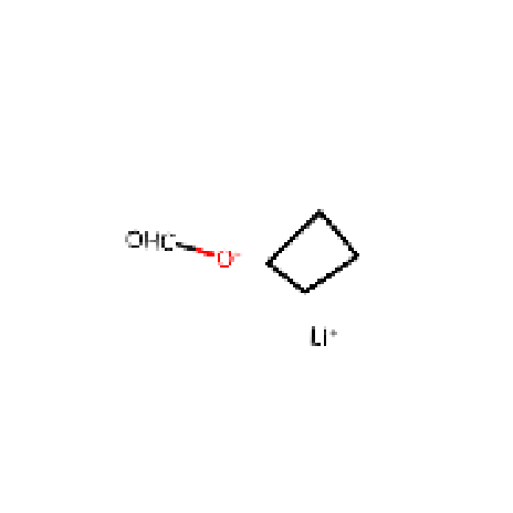 C1CCC1.O=C[O-].[Li+]